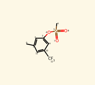 Cc1cc(OS(C)(=O)=O)cc(C(F)(F)F)c1